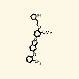 COc1cc(-n2cc3ccc(Oc4ccccc4C(F)(F)F)cc3c2)ccc1OCCC1CCCN1